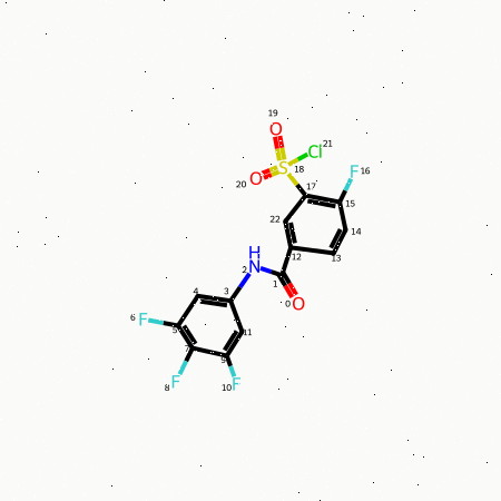 O=C(Nc1cc(F)c(F)c(F)c1)c1ccc(F)c(S(=O)(=O)Cl)c1